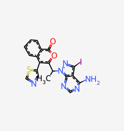 CC(c1oc(=O)c2ccccc2c1-c1cncs1)n1nc(I)c2c(N)ncnc21